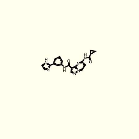 O=C(Nc1cccc(-c2ncc[nH]2)c1)c1cnn2ccc(NC(=O)C3CC3)nc12